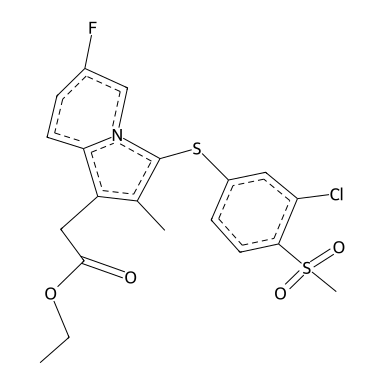 CCOC(=O)Cc1c(C)c(Sc2ccc(S(C)(=O)=O)c(Cl)c2)n2cc(F)ccc12